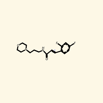 O=C(/C=C/c1ccc(F)cc1F)NCCCN1CCOCC1